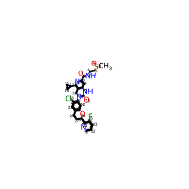 C[S+]([O-])CCNC(=O)c1cc2c(c(C3CC3)n1)CN(c1cc3c(cc1Cl)CCC(c1ncccc1F)O3)C(=O)N2